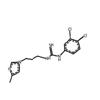 Cc1cn(CCCNC(=N)Nc2ccc(Cl)c(Cl)c2)cn1